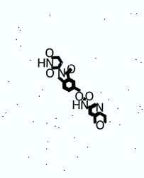 O=C1CCC(N2Cc3ccc(COC(=O)Nc4cnc5c(c4)COCC5)cc3C2=O)C(=O)N1